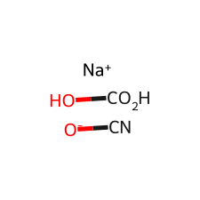 N#C[O-].O=C(O)O.[Na+]